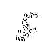 C=C(C)C1CCC2(C(=O)NCCc3cc(C(=O)NCc4ccc(C(=O)O)cn4)ccc3F)CCC3C(CCC4C3(C)CCC3C(C)(C)C(O)CCC34C)C12